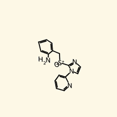 Nc1ccccc1C[S+]([O-])c1nccn1-c1ccccn1